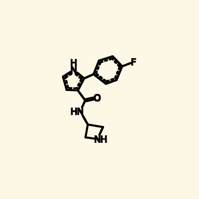 O=C(NC1CNC1)c1cc[nH]c1-c1ccc(F)cc1